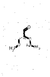 O=C[C@@H](COP)OPP